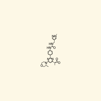 CC(c1cc(N2CCOC[C@@H]2C)nc(-c2ccc(NC(=O)NCc3cnn(C)c3)cc2)n1)=S(=O)=O